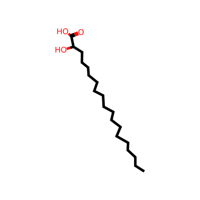 CCCCCCCCCCCCCCCCCC(O)C(=O)O